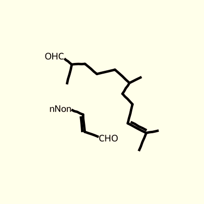 CC(C)=CCCC(C)CCCC(C)C=O.CCCCCCCCCC=CC=O